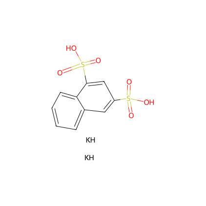 O=S(=O)(O)c1cc(S(=O)(=O)O)c2ccccc2c1.[KH].[KH]